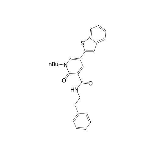 CCCCn1cc(-c2cc3ccccc3s2)cc(C(=O)NCCc2ccccc2)c1=O